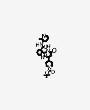 Cc1ncccc1NC(=O)c1cccc2nn3c(C4CCN(C(=O)OC(C)(C)C)CC4)cc(=O)[nH]c3c12